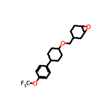 FC(F)(F)Oc1ccc(C2CCC(OCC3CCC4OC4C3)CC2)cc1